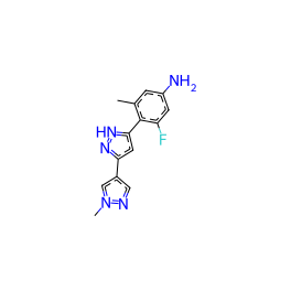 Cc1cc(N)cc(F)c1-c1cc(-c2cnn(C)c2)n[nH]1